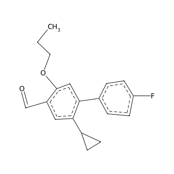 CCCOc1cc(-c2ccc(F)cc2)c(C2CC2)cc1C=O